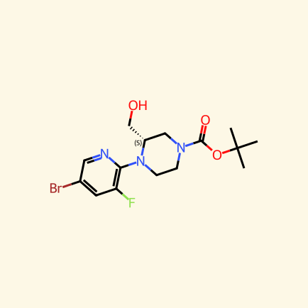 CC(C)(C)OC(=O)N1CCN(c2ncc(Br)cc2F)[C@H](CO)C1